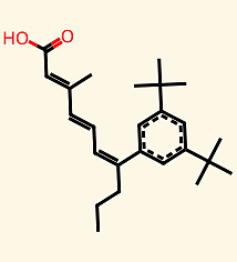 CCC/C(=C/C=C/C(C)=C/C(=O)O)c1cc(C(C)(C)C)cc(C(C)(C)C)c1